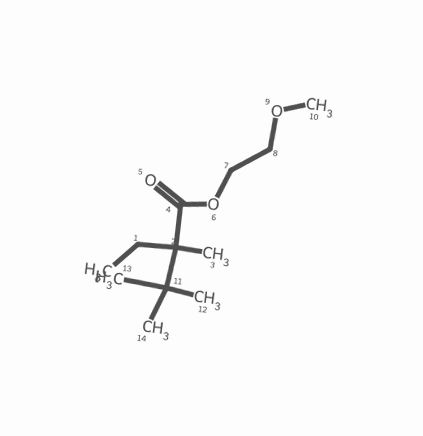 CCC(C)(C(=O)OCCOC)C(C)(C)C